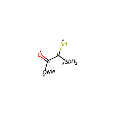 COC(=O)[CH](S)[SbH2]